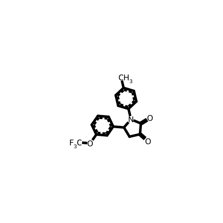 Cc1ccc(N2C(=O)C(=O)CC2c2cccc(OC(F)(F)F)c2)cc1